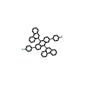 Fc1ccc(-c2ccc3c(-c4cc5ccccc5c5ccccc45)c4cc(-c5ccc(F)cc5)ccc4c(-c4cc5ccccc5c5ccccc45)c3c2)cc1